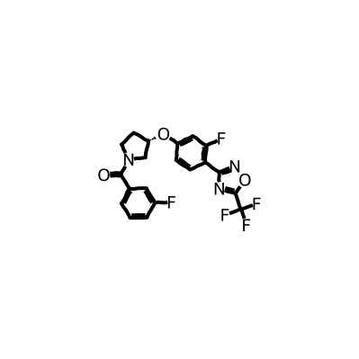 O=C(c1cccc(F)c1)N1CC[C@H](Oc2ccc(-c3noc(C(F)(F)F)n3)c(F)c2)C1